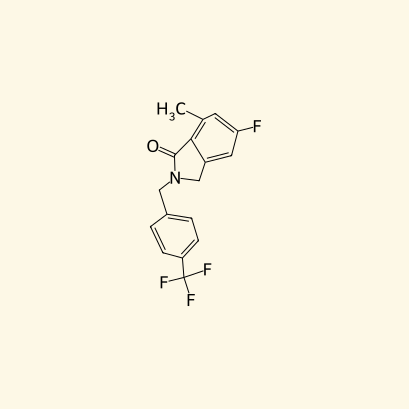 Cc1cc(F)cc2c1C(=O)N(Cc1ccc(C(F)(F)F)cc1)C2